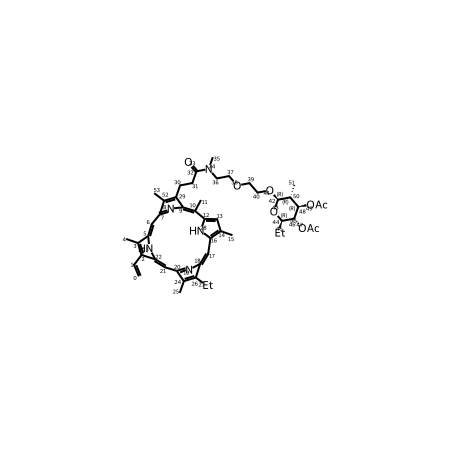 C=Cc1c(C)c2cc3nc(c(C)c4cc(C)c(cc5nc(cc1[nH]2)C(C)=C5CC)[nH]4)C(CCC(=O)N(C)CCOCCO[C@@H]1O[C@H](CC)[C@@H](OC(C)=O)[C@H](OC(C)=O)[C@H]1C)=C3C